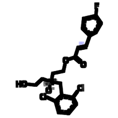 O=C(/C=C/c1ccc(F)cc1)OCC[N@@+]([O-])(CCO)Cc1c(Cl)cccc1Cl